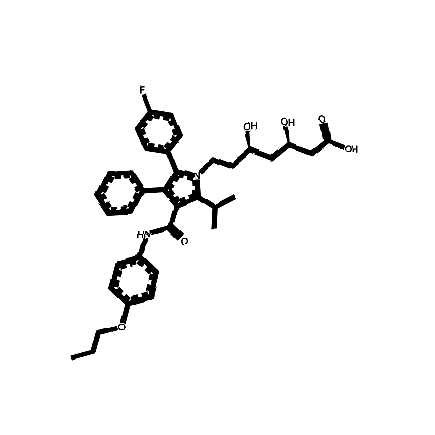 CCCOc1ccc(NC(=O)c2c(-c3ccccc3)c(-c3ccc(F)cc3)n(CC[C@@H](O)C[C@@H](O)CC(=O)O)c2C(C)C)cc1